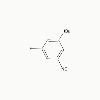 [C-]#[N+]c1cc(F)cc(C(C)(C)C)c1